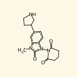 Cn1c(=O)n(N2C(=O)CCCC2=O)c2ccc(C3CCNC3)cc21